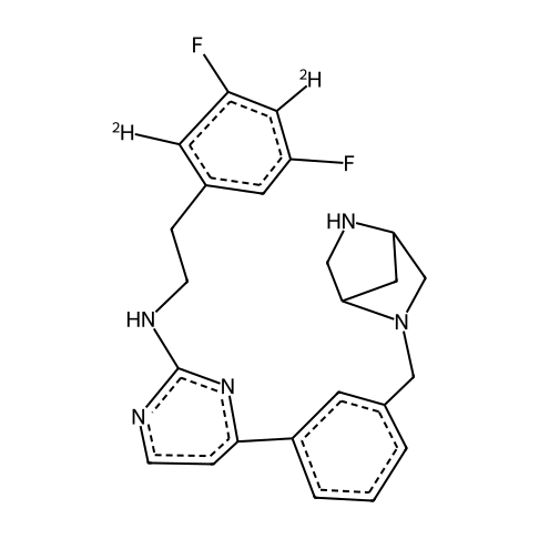 [2H]c1c(F)cc(CCNc2nccc(-c3cccc(CN4CC5CC4CN5)c3)n2)c([2H])c1F